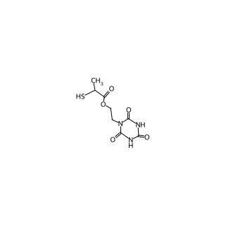 CC(S)C(=O)OCCn1c(=O)[nH]c(=O)[nH]c1=O